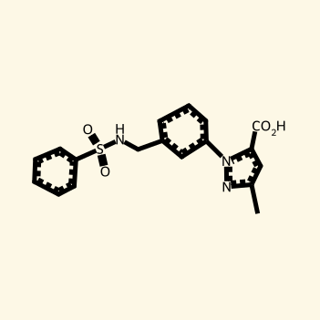 Cc1cc(C(=O)O)n(-c2cccc(CNS(=O)(=O)c3ccccc3)c2)n1